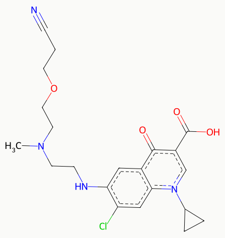 CN(CCNc1cc2c(=O)c(C(=O)O)cn(C3CC3)c2cc1Cl)CCOCCC#N